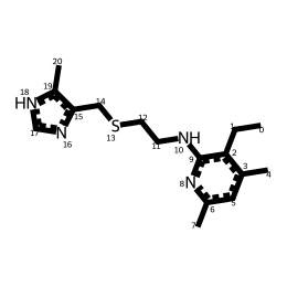 CCc1c(C)cc(C)nc1NCCSCc1nc[nH]c1C